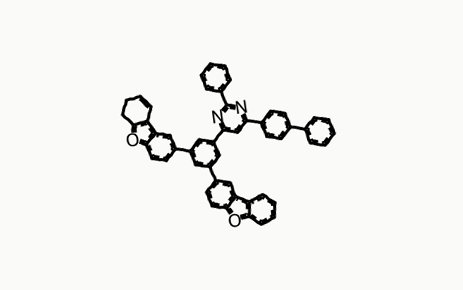 C1=Cc2c(oc3ccc(-c4cc(-c5ccc6oc7ccccc7c6c5)cc(-c5cc(-c6ccc(-c7ccccc7)cc6)nc(-c6ccccc6)n5)c4)cc23)CC1